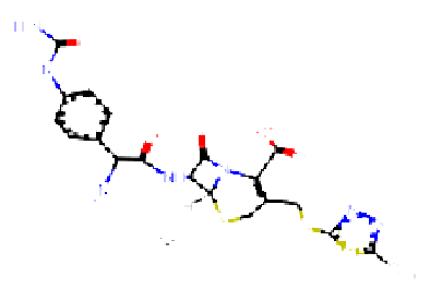 Cc1nnc(SCC2=C(C(=O)[O-])N3C(=O)C(NC(=O)C(N)c4ccc(NC(N)=O)cc4)[C@H]3SC2)s1.[Na+]